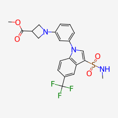 CNS(=O)(=O)c1cn(-c2cccc(N3CC(C(=O)OC)C3)c2)c2ccc(C(F)(F)F)cc12